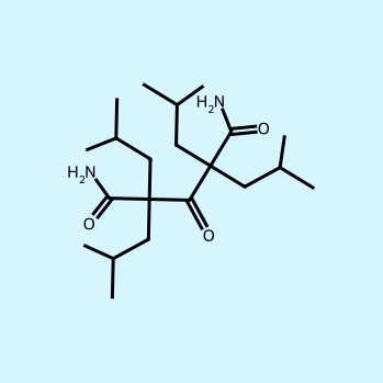 CC(C)CC(CC(C)C)(C(N)=O)C(=O)C(CC(C)C)(CC(C)C)C(N)=O